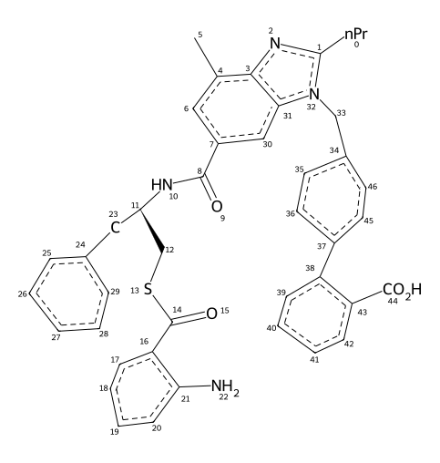 CCCc1nc2c(C)cc(C(=O)N[C@@H](CSC(=O)c3ccccc3N)Cc3ccccc3)cc2n1Cc1ccc(-c2ccccc2C(=O)O)cc1